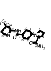 NC(=O)c1cccn1-c1ccc(C(=O)Nc2cc(C(F)(F)F)ccn2)cc1